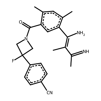 CC(=N)/C(C)=C(\N)c1cc(C(=O)N2CC(F)(c3ccc(C#N)cc3)C2)c(C)cc1C